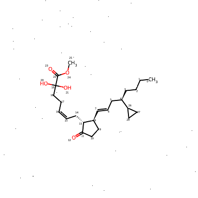 CCCC[C@H](C/C=C/[C@H]1CCC(=O)[C@@H]1C/C=C\CCC(O)(O)C(=O)OC)C1CC1